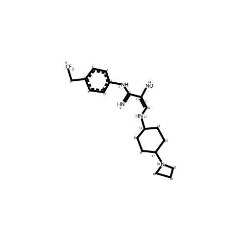 N=C(Nc1ccc(CC(F)(F)F)cc1)/C(=C\NC1CCC(N2CCC2)CC1)N=O